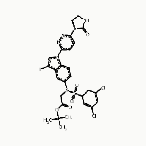 CC(C)(C)OC(=O)CN(c1ccc2c(c1)c(I)cn2-c1ccc(N2CCNC2=O)nn1)S(=O)(=O)C1C=C(Cl)C=C(Cl)C1